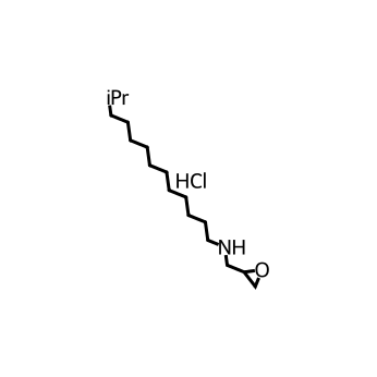 CC(C)CCCCCCCCCCCNCC1CO1.Cl